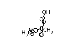 Cc1c(CCOC(=O)CCCO)cc(-c2ccc(S(C)(=O)=O)cc2)n1-c1ccccc1